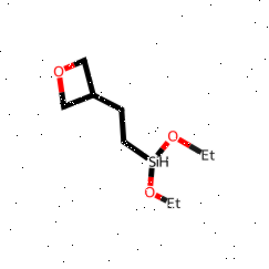 CCO[SiH](CCC1COC1)OCC